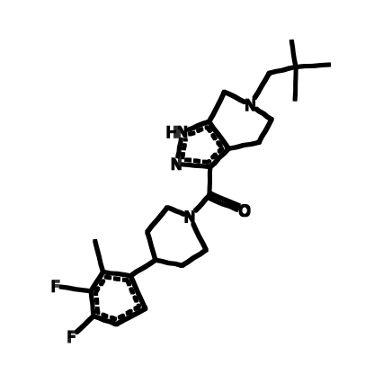 Cc1c(C2CCN(C(=O)c3n[nH]c4c3CCN(CC(C)(C)C)C4)CC2)ccc(F)c1F